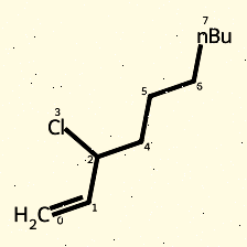 C=CC(Cl)CCCCCCC